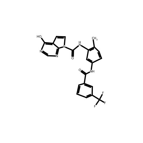 Cc1ccc(NC(=O)c2cccc(C(F)(F)F)c2)cc1NC(=O)n1ccc2c(O)ncnc21